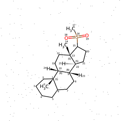 C[C@]12CCCCC1CC[C@@H]1[C@H]2CC[C@]2(C)C(S(C)(=O)=O)CC[C@@H]12